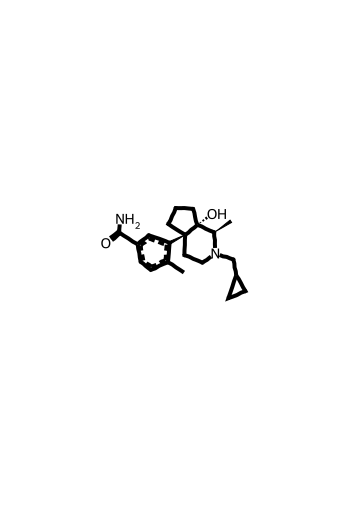 Cc1ccc(C(N)=O)cc1[C@@]12CCC[C@@]1(O)[C@@H](C)N(CC1CC1)CC2